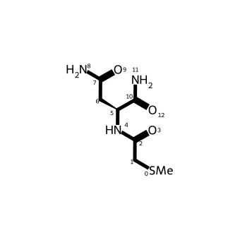 CSCC(=O)N[C@@H](CC(N)=O)C(N)=O